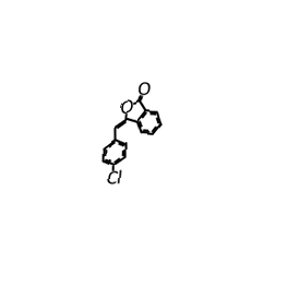 O=C1O/C(=C/c2ccc(Cl)cc2)c2ccccc21